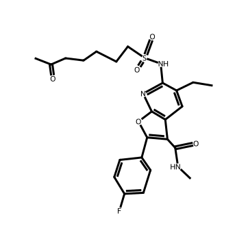 CCc1cc2c(C(=O)NC)c(-c3ccc(F)cc3)oc2nc1NS(=O)(=O)CCCCCC(C)=O